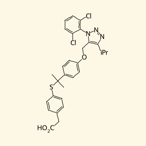 CC(C)c1nnn(-c2c(Cl)cccc2Cl)c1COc1ccc(C(C)(C)Sc2ccc(CC(=O)O)cc2)cc1